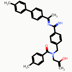 C=C(O)CN(Cc1ccc(C(=N)/N=C(\C)c2ccc(-c3ccc(C)cc3)cc2)cc1)C(=O)c1ccc(C)cc1